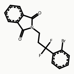 O=C1c2ccccc2C(=O)N1CCC(F)(F)c1ccccc1Br